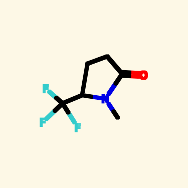 CN1C(=O)CCC1C(F)(F)F